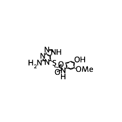 COc1cc(NS(=O)(=O)CSc2nc(N)nc3nc[nH]c23)ccc1O